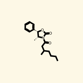 CCCCC(C)CC(=O)N1C(=O)O[C@@H](c2ccccc2)[C@H]1C